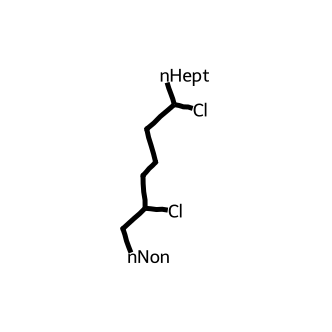 CCCCCCCCCCC(Cl)CCCC(Cl)CCCCCCC